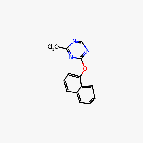 ClC(Cl)(Cl)c1ncnc(Oc2cccc3ccccc23)n1